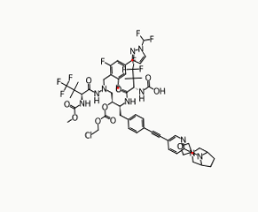 COC(=O)N[C@H](C(=O)NN(Cc1c(F)cc(-c2ccn(C(F)F)n2)cc1F)C[C@H](OC(=O)OCCl)[C@H](Cc1ccc(C#Cc2ccc(N3CC4CCC(C3)N4C3COC3)nc2)cc1)NC(=O)[C@@H](NC(=O)O)C(C)(C)C(F)(F)F)C(C)(C)C(F)(F)F